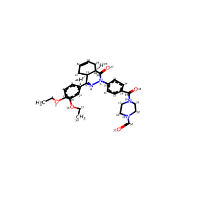 CCOc1ccc(C2=NN(c3ccc(C(=O)N4CCN(C=O)CC4)cc3)C(=O)[C@@H]3CC=CC[C@H]23)cc1OCC